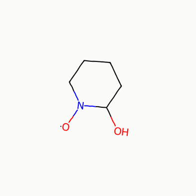 [O]N1CCCCC1O